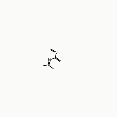 C=NC(=C)N=C(C)C